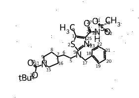 Cc1sc(N(CCC2CCN(C(=O)OC(C)(C)C)CC2)Cc2ccccc2)nc1C(=O)NS(C)(=O)=O